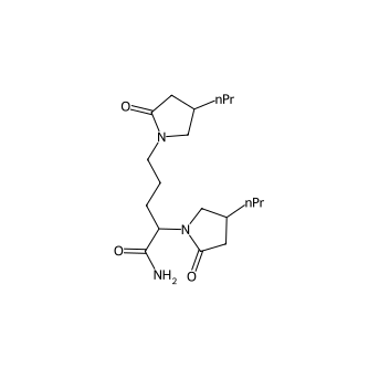 CCCC1CC(=O)N(CCCC(C(N)=O)N2CC(CCC)CC2=O)C1